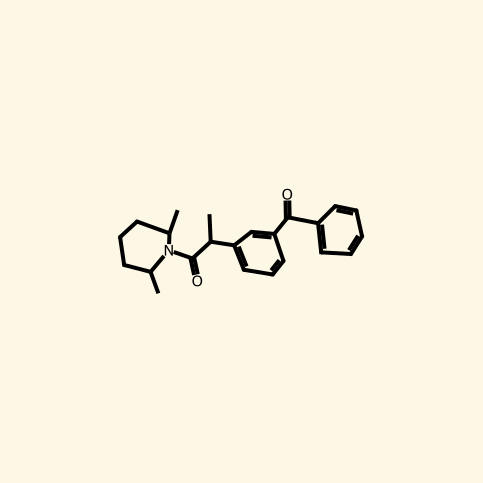 CC(C(=O)N1C(C)CCCC1C)c1cccc(C(=O)c2ccccc2)c1